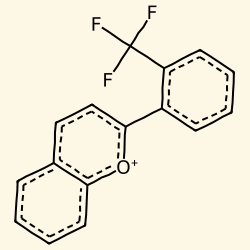 FC(F)(F)c1ccccc1-c1ccc2ccccc2[o+]1